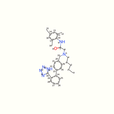 CCCCCN(CC(=O)Nc1c(C)cc(C)cc1C)Cc1ccc(-c2ccccc2-c2nnn[nH]2)cc1